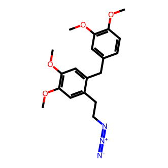 COc1ccc(Cc2cc(OC)c(OC)cc2CCN=[N+]=[N-])cc1OC